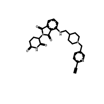 C#Cc1ccc(CN2CCC(CNc3cccc4c3C(=O)N(C3CCC(=O)NC3=O)C4=O)CC2)cn1